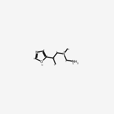 CC(CN(C)CN)c1cnco1